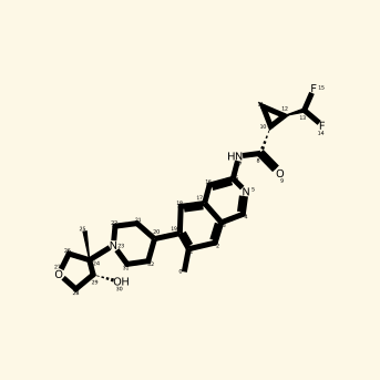 Cc1cc2cnc(NC(=O)[C@@H]3C[C@H]3C(F)F)cc2cc1C1CCN([C@@]2(C)COC[C@H]2O)CC1